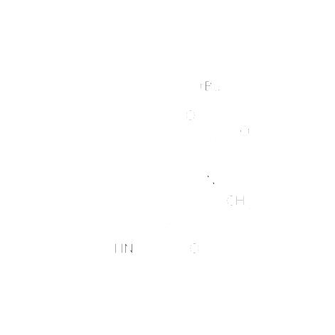 CN(C(=O)OC(C)(C)C)C1CCCCNC1=O